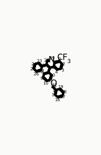 FC(F)(F)c1cccc2c(-c3cccc(OCc4ccccc4)c3)c(-c3ccccc3)cnc12